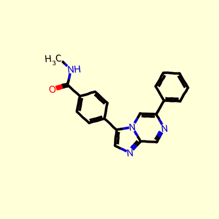 CNC(=O)c1ccc(-c2cnc3cnc(-c4ccccc4)cn23)cc1